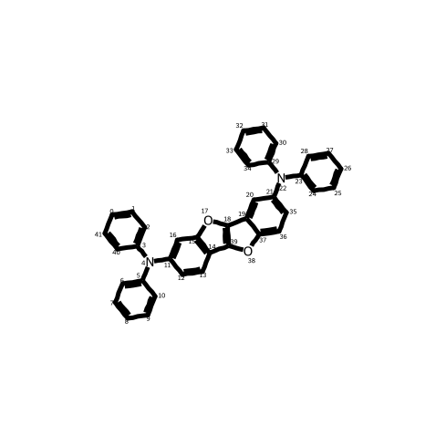 c1ccc(N(c2ccccc2)c2ccc3c(c2)oc2c4cc(N(c5ccccc5)c5ccccc5)ccc4oc32)cc1